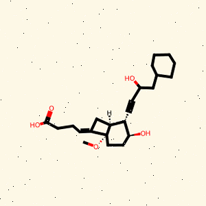 CO[C@@]12CC[C@H](O)[C@@H](C#CC(O)CC3CCCCC3)[C@@H]1CC2=CCCC(=O)O